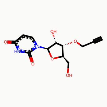 C#CCO[C@H]1[C@@H](O)[C@H](n2ccc(=O)[nH]c2=O)O[C@@H]1CO